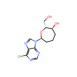 OC[C@H]1O[C@H](n2cnc3c(Cl)ncnc32)CCC[C@@H]1O